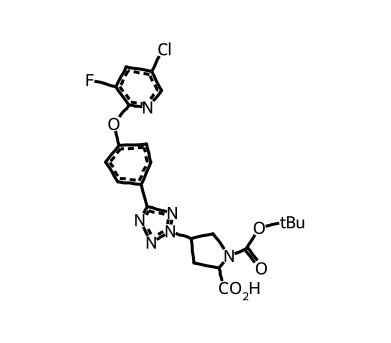 CC(C)(C)OC(=O)N1CC(n2nnc(-c3ccc(Oc4ncc(Cl)cc4F)cc3)n2)CC1C(=O)O